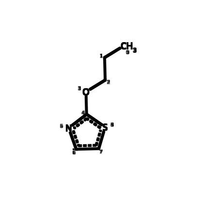 CCCOc1n[c]cs1